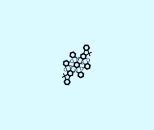 CC1(C)c2ccccc2-c2cc3c4c(c21)Oc1cccc2c1B4c1c(c4c5c(c1N3c1ccccc1)Oc1cccc3c1B5c1c(cc5c(c1O3)C(C)(C)c1ccccc1-5)N4c1ccccc1)O2